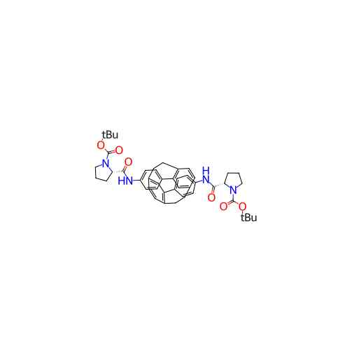 CC(C)(C)OC(=O)N1CCC[C@H]1C(=O)Nc1ccc(-c2cc3ccc2CCc2ccc(c(-c4ccc(NC(=O)[C@@H]5CCCN5C(=O)OC(C)(C)C)cc4)c2)CC3)cc1